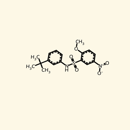 COc1ccc([N+](=O)[O-])cc1S(=O)(=O)Nc1cccc(C(C)(C)C)c1